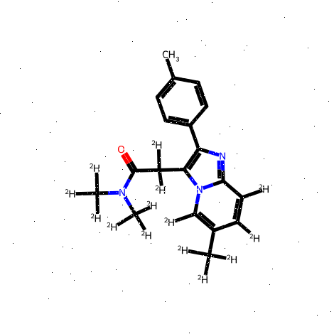 [2H]c1c(C([2H])([2H])[2H])c([2H])n2c(C([2H])([2H])C(=O)N(C([2H])([2H])[2H])C([2H])([2H])[2H])c(-c3ccc(C)cc3)nc2c1[2H]